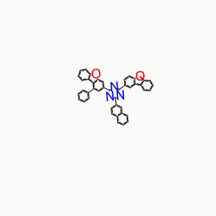 c1ccc(-c2cc(-c3nc(-c4ccc5ccccc5c4)nc(-c4ccc5oc6ccccc6c5c4)n3)cc3oc4ccccc4c23)cc1